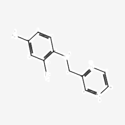 CC(=O)c1ccc(OCc2cnccn2)c(Br)c1